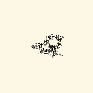 CC(C)C[C@@H]1NC(=O)[C@@H](NC(=O)[C@@H]2CCC(=O)N2)[C@H](C(C)C)c2ccc3c4c([nH]c3c2)-n2cnc(c2)C[C@@H](C(=O)O)NC(=O)[C@H](C)NC(=O)[C@H](CCCN=C(N)N)NC(=O)[C@H](C4)NC(=O)[C@H](C(C)C)NC1=O